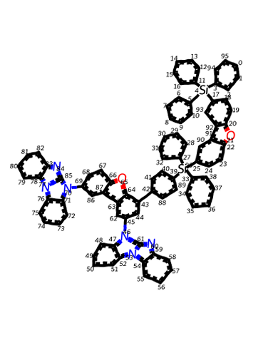 c1ccc([Si](c2ccccc2)(c2ccccc2)c2ccc3oc4ccc([Si](c5ccccc5)(c5ccccc5)c5ccc(-c6cc(-n7c8ccccc8n8c9ccccc9nc78)cc7c6oc6ccc(-n8c9ccccc9n9c%10ccccc%10nc89)cc67)cc5)cc4c3c2)cc1